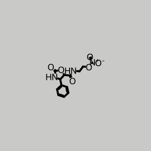 O=C1NC(c2ccccc2)C(C(=O)NCCO[N+](=O)[O-])O1